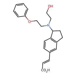 O=C(O)C=Cc1ccc2c(c1)CCC2N(CCO)CCOc1ccccc1